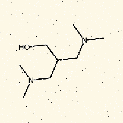 CN(C)CC(CO)CN(C)C